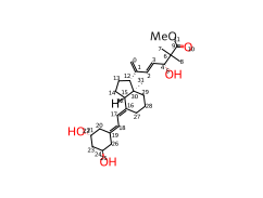 C=C(/C=C/[C@@H](O)C(C)(C)C(=O)OC)[C@H]1CC[C@H]2/C(=C/C=C3C[C@@H](O)C[C@H](O)C3)CCC[C@]12C